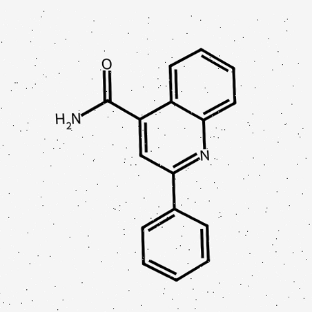 NC(=O)c1cc(-c2ccccc2)nc2ccccc12